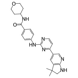 CC1(C)CNc2ncc(-c3ccnc(Nc4ccc(C(=O)NC5CCOCC5)cc4)n3)cc21